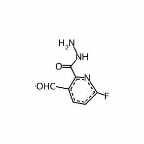 NNC(=O)c1nc(F)ccc1[C]=O